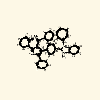 c1ccc(-c2oc3c(c(-c4ccccc4)nc4ccccc43)c2-c2ccc(C3Nc4ccccc4N3c3ccccc3)cc2)cc1